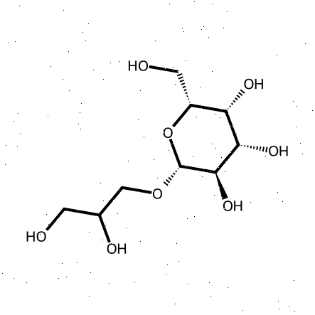 OCC(O)CO[C@@H]1O[C@H](CO)[C@H](O)[C@H](O)[C@H]1O